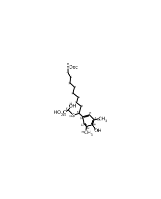 CCCCCCCCCCCCCCCCCCC(SC(O)C(=O)O)c1cc(C)c(O)c(C)c1